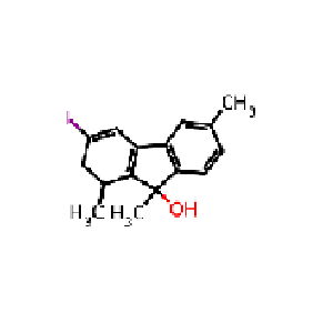 Cc1ccc2c(c1)C1=C(C(C)CC(I)=C1)C2(C)O